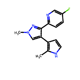 Cc1[nH]ccc1-c1cn(C)nc1-c1ccc(F)cn1